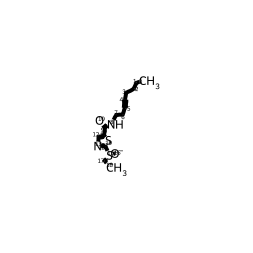 CCCCC#CCCNC(=O)c1cnc([S+]([O-])CC)s1